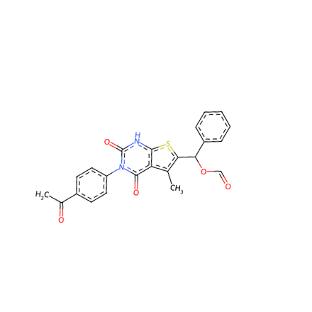 CC(=O)c1ccc(-n2c(=O)[nH]c3sc(C(OC=O)c4ccccc4)c(C)c3c2=O)cc1